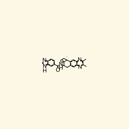 Cc1nc2cc3c(cc2nc1C)[C@]1(C)CCN(C(=O)c2ccc4nc[nH]c4c2)[C@H](C3)C1(C)C